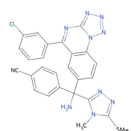 CSc1nnc(C(N)(c2ccc(C#N)cc2)c2ccc3c(c2)c(-c2cccc(Cl)c2)nc2nnnn23)n1C